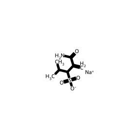 C=C(C(N)=O)C(C(C)C)S(=O)(=O)[O-].[Na+]